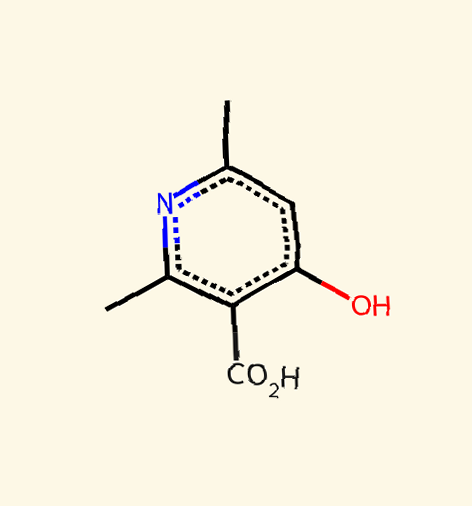 Cc1cc(O)c(C(=O)O)c(C)n1